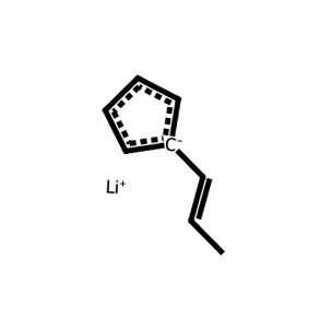 CC=C[c-]1cccc1.[Li+]